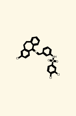 O=S(=O)(Nc1cccc(C=C=C2c3ccccc3CCc3cc(Cl)ccc32)c1)c1ccc(Cl)c(Cl)c1